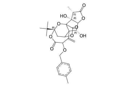 C=C1C(OCc2ccc(C)cc2)C(=O)O[C@@]2(C(C)(C)C)CC3OC(=O)C4(O2)C13[C@@H](O)C1OC(=O)[C@@H](C)[C@@]14O